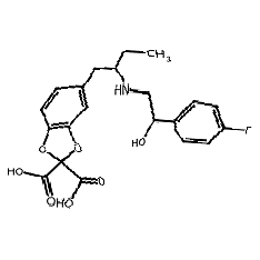 CCC(Cc1ccc2c(c1)OC(C(=O)O)(C(=O)O)O2)NCC(O)c1ccc(F)cc1